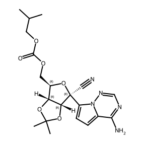 CC(C)COC(=O)OC[C@H]1O[C@@](C#N)(c2ccc3c(N)ncnn23)[C@@H]2OC(C)(C)O[C@@H]21